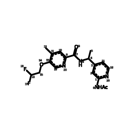 CC(=O)Nc1cc(C(C)NC(=O)c2cc(C)c(OCC(F)F)cn2)ccn1